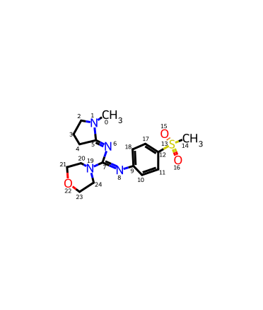 CN1CCCC1=NC(=Nc1ccc(S(C)(=O)=O)cc1)N1CCOCC1